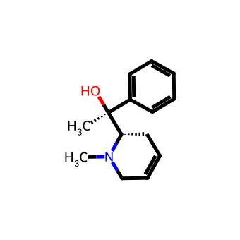 CN1CC=CC[C@H]1[C@@](C)(O)c1ccccc1